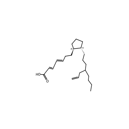 C=CCC(CCCC)CCC[C@H]1CCC[C@@H]1CCC=CC=CC(=O)O